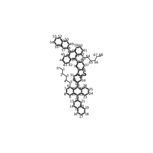 CCCCCCc1cccc2c(-c3ccc4ccccc4c3)c3ccccc3c(-c3ccc4c(c3)sc3ccc(-c5c6ccccc6c(-c6ccc7ccccc7c6)c6cccc(CCCCCC)c56)cc34)c12